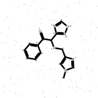 Cn1cnc(COC(C(=O)c2ccccc2)c2ncon2)c1